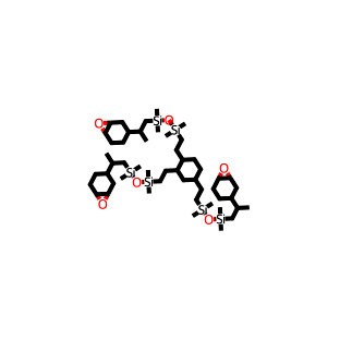 CC(C[Si](C)(C)O[Si](C)(C)CCC1CCC(CC[Si](C)(C)O[Si](C)(C)CC(C)C2CCC3OC3C2)C(CC[Si](C)(C)O[Si](C)(C)CC(C)C2CCC3OC3C2)C1)C1CCC2OC2C1